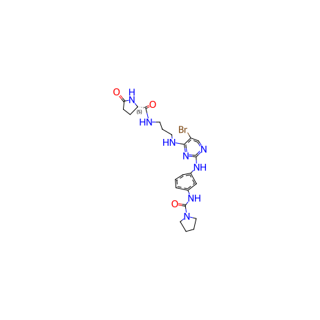 O=C1CC[C@@H](C(=O)NCCCNc2nc(Nc3cccc(NC(=O)N4CCCC4)c3)ncc2Br)N1